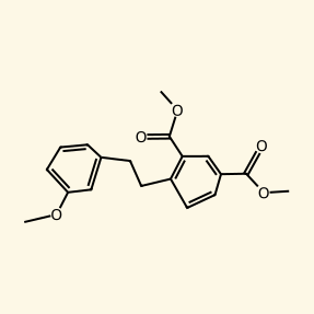 COC(=O)c1ccc(CCc2cccc(OC)c2)c(C(=O)OC)c1